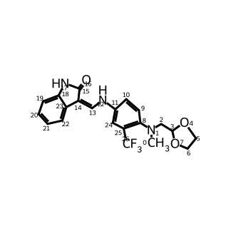 CN(CC1OCCO1)c1ccc(NC=C2C(=O)Nc3ccccc32)cc1C(F)(F)F